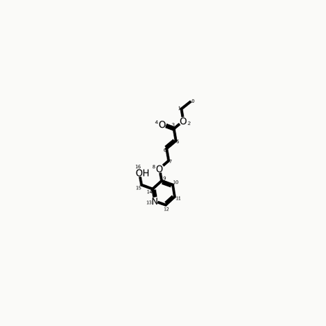 CCOC(=O)C=CCOc1cccnc1CO